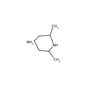 CC1CCCC(C)N1.N